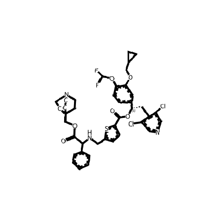 O=C(O[C@@H](Cc1c(Cl)cncc1Cl)c1ccc(OC(F)F)c(OCC2CC2)c1)c1ccc(CNC(C(=O)OCC23CCN(CC2)CC3)c2ccccc2)s1